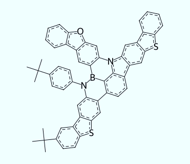 CC(C)(C)c1ccc(N2B3c4cc5c(cc4-n4c6cc7c(cc6c6ccc(c3c64)-c3cc4sc6ccc(C(C)(C)C)cc6c4cc32)sc2ccccc27)oc2ccccc25)cc1